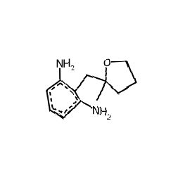 CC1(Cc2c(N)cccc2N)CCCO1